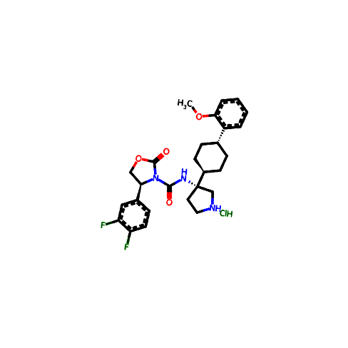 COc1ccccc1[C@H]1CC[C@H]([C@]2(NC(=O)N3C(=O)OC[C@@H]3c3ccc(F)c(F)c3)CCNC2)CC1.Cl